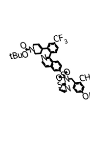 COc1ccc(CN(c2nccs2)S(=O)(=O)c2ccc3c(-c4ccc(C(F)(F)F)cc4C4=CCN(C(=O)OC(C)(C)C)CC4)nccc3c2)c(C)c1